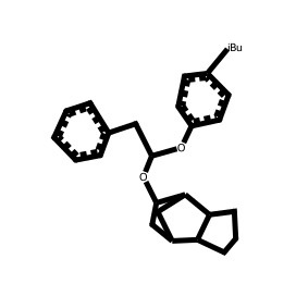 CCC(C)c1ccc(OC(Cc2ccccc2)OC2CC3CC2C2CCCC32)cc1